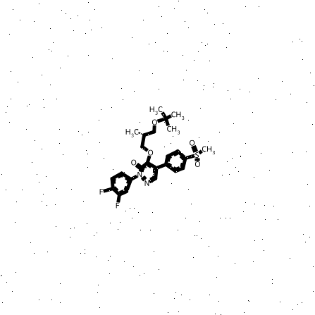 C[C@@H](COc1c(-c2ccc(S(C)(=O)=O)cc2)cnn(-c2ccc(F)c(F)c2)c1=O)COC(C)(C)C